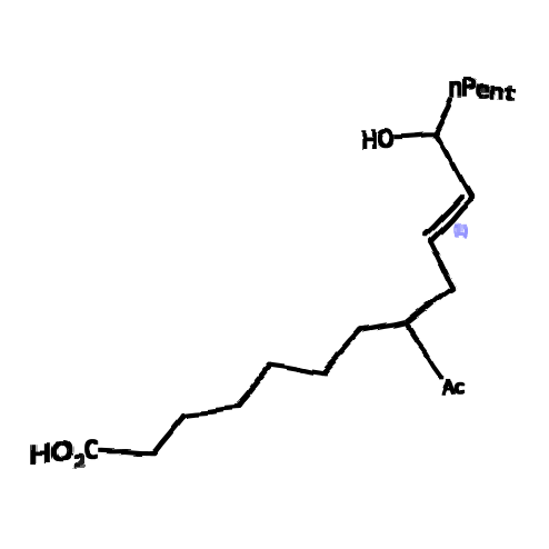 CCCCCC(O)/C=C/CC(CCCCCCC(=O)O)C(C)=O